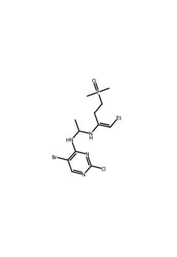 CC/C=C(\CCP(C)(C)=O)NC(C)Nc1nc(Cl)ncc1Br